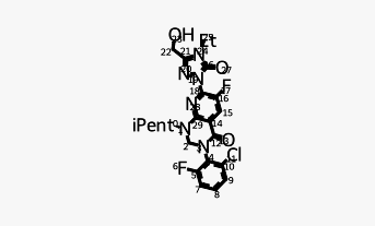 CCC[C@H](C)N1CN(c2c(F)cccc2Cl)C(=O)c2cc(F)c(-n3nc(CO)n(CC)c3=O)nc21